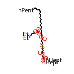 CCCCC/C=C\C/C=C\CCCCCCCCC(CCCOC(=O)CCSSCCC(=O)OCC(OCCCCCCC)OCCCCCCC)OC(=O)OCCCN(CC)CC